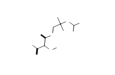 CC(C)(C)OC(C(N)=O)C(=O)OCC(C)(C)OC(C(=O)O)C(=O)O